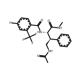 CNC(=O)[C@@H](NC(=O)c1ccc(F)cc1C(F)(F)F)[C@H](CNC(C)=O)c1ccccc1